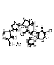 CC(=O)Nc1nccc(-c2cnc(C3CC[C@@H]4CC(c5c(-n6cnnn6)ccc(Cl)c5F)=CC(=O)N34)[nH]2)c1Cl